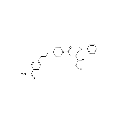 COC(=O)c1ccc(CCCC2CCN(C(=O)CN(C(=O)OC(C)(C)C)C3CC3c3ccccc3)CC2)cc1